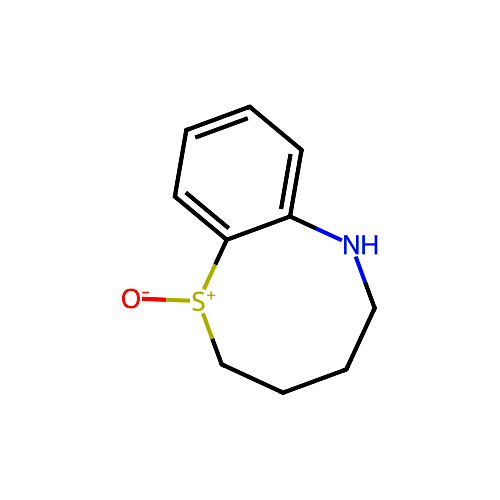 [O-][S+]1CCCCNc2ccccc21